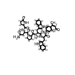 Cc1cc(=O)oc2cc(NC(=O)C(Cc3c[nH]c4ccccc34)NC(=O)C(Cc3c[nH]c4ccccc34)NC(=O)C3CCCN3C(=O)C(CC(N)=O)NC(=O)C3CCC(=O)N3)ccc12